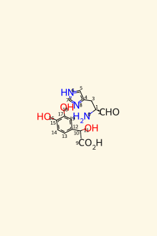 N[C@H](C=O)Cc1c[nH]cn1.O=C(O)C(O)c1ccc(O)c(O)c1